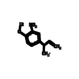 [CH2]C(C=C)c1ccc(OCC)c([N+](=O)[O-])c1